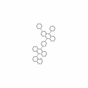 c1ccc(-c2ccc3c(-c4ccc(-c5c6ccccc6c(-c6cccc7cccnc67)c6ccccc56)cc4)c4ccccc4c(-c4ccccc4)c3c2)cc1